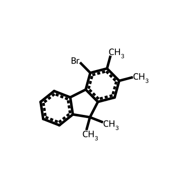 Cc1cc2c(c(Br)c1C)-c1ccccc1C2(C)C